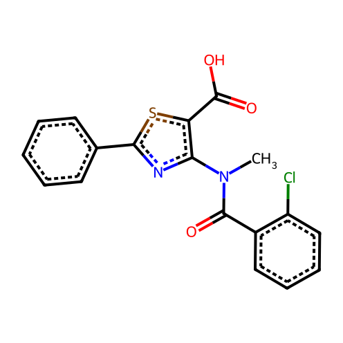 CN(C(=O)c1ccccc1Cl)c1nc(-c2ccccc2)sc1C(=O)O